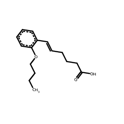 CCCCOc1ccccc1C=CCCCC(=O)O